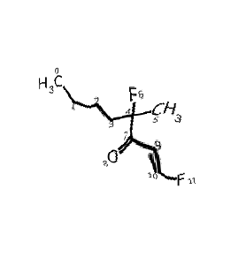 CCCCC(C)(F)C(=O)/C=C/F